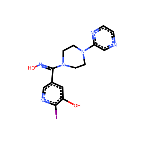 O/N=C(\c1cnc(I)c(O)c1)N1CCN(c2cnccn2)CC1